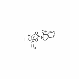 CC(C)(C)OC(=O)N1CCc2ccncc2C1O